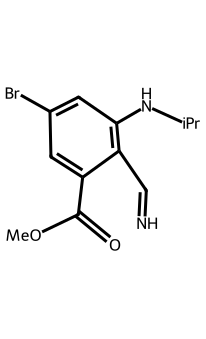 COC(=O)c1cc(Br)cc(NC(C)C)c1C=N